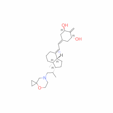 C=C1[C@H](O)CC(=C/C=C2\CCC[C@]3(C)[C@@H](C(C)CN4CCOC5(CC5)C4)CC[C@@H]23)C[C@H]1O